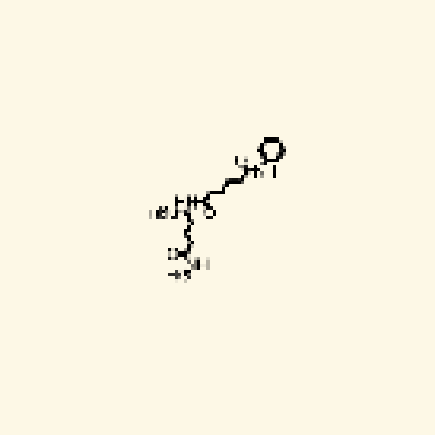 CCCC[C@@H](CCCC(=O)NO)NC(=O)CCCCC(=O)Nc1ccccc1